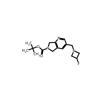 CC(C)(C)OC(=O)N1Cc2cc(CN3CC(F)C3)cnc2C1